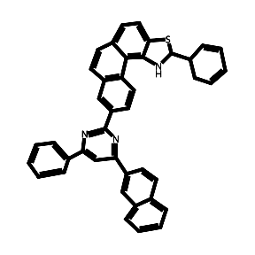 C1=CCC(C2Nc3c(ccc4ccc5cc(-c6nc(-c7ccccc7)cc(-c7ccc8ccccc8c7)n6)ccc5c34)S2)C=C1